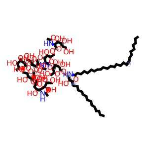 CCCCCCCC/C=C\CCCCCCCCCCCCCCCC(=O)N[C@@H](CO[C@@H]1OC(CO)[C@@H](O[C@@H]2OC(CO[C@@H]3OC(CO)[C@@H](O)[C@H](O)C3NC(C)=O)[C@H](O)[C@H](O[C@@H]3OC(CO)[C@@H](O[C@H]4OC(C)[C@@H](O)C(O)[C@@H]4O)[C@H](O[C@@H]4OC(CO)[C@H](O)[C@H](O[C@]5(C(=O)O)CC(O)[C@@H](NC(C)=O)C([C@H](O)[C@H](O)CO)O5)C4O)C3NC(C)=O)C2O)[C@H](O)C1O)[C@H](O)/C=C/CCCCCCCCCCCCC